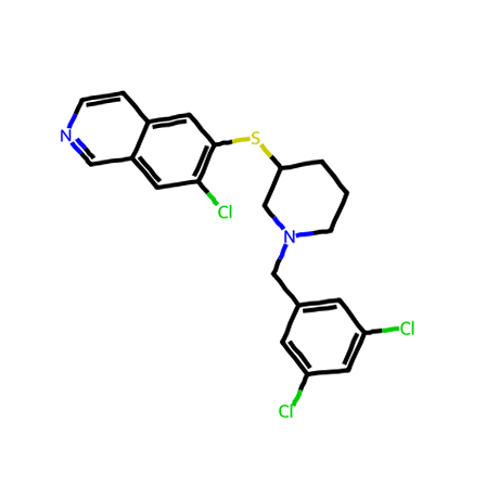 Clc1cc(Cl)cc(CN2CCCC(Sc3cc4ccncc4cc3Cl)C2)c1